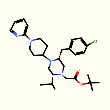 CC(C)[C@H]1CN(C2CCN(c3ccccn3)CC2)[C@@H](Cc2ccc(Cl)cc2)CN1CC(=O)OC(C)(C)C